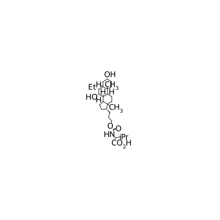 CC[C@H]1[C@@H](O)[C@@H]2[C@H](CC[C@]3(C)[C@@H](CCCOC(=O)NC(C(=O)O)C(C)C)CC[C@@H]23)[C@@]2(C)CC[C@@H](O)C[C@@H]12